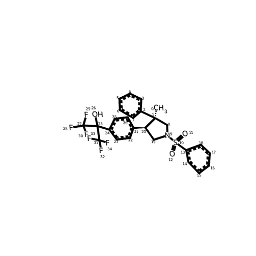 C[C@]1(c2ccccc2)CN(S(=O)(=O)c2ccccc2)C[C@H]1c1ccc(C(O)(C(F)(F)F)C(F)(F)F)cc1